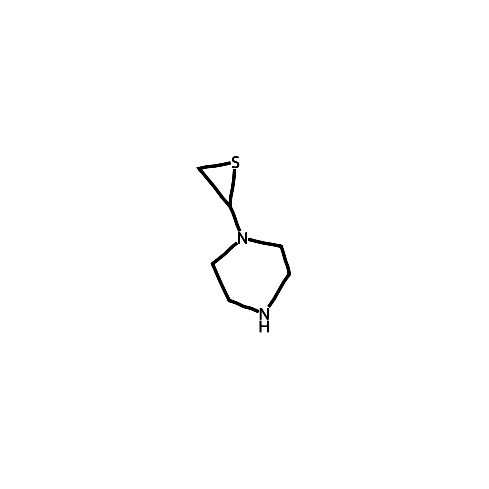 C1CN(C2CS2)CCN1